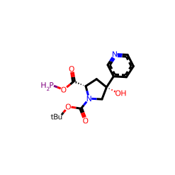 CC(C)(C)OC(=O)N1C[C@](O)(c2cccnc2)C[C@H]1C(=O)OP